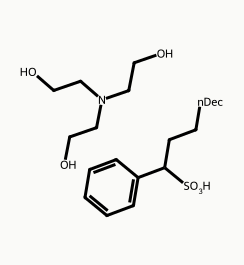 CCCCCCCCCCCCC(c1ccccc1)S(=O)(=O)O.OCCN(CCO)CCO